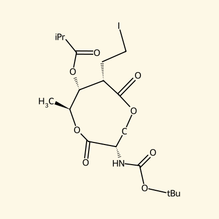 CC(C)C(=O)O[C@H]1[C@H](C)OC(=O)[C@@H](NC(=O)OC(C)(C)C)COC(=O)[C@H]1CCI